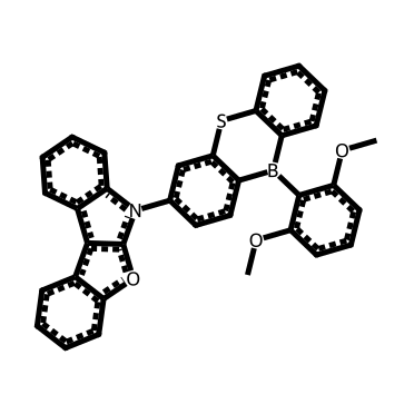 COc1cccc(OC)c1B1c2ccccc2Sc2cc(-n3c4ccccc4c4c5ccccc5oc43)ccc21